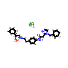 Cl.Cl.O=C(Cc1nccn1Cc1ccccc1)Nc1ccc(CCNCC(O)c2ccccc2)cc1